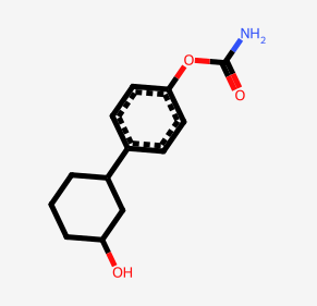 NC(=O)Oc1ccc(C2CCCC(O)C2)cc1